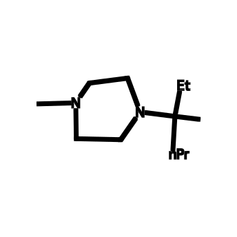 CCCC(C)(CC)N1CCN(C)CC1